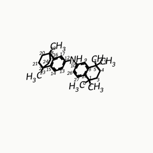 CC1(C)CCC(C)(C)c2cc(Nc3ccc4c(c3)C3(C)CCC4(C)CC3)ccc21